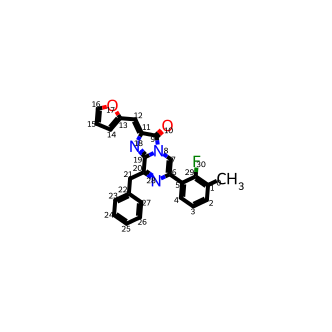 Cc1cccc(C2=CN3C(=O)/C(=C/c4ccco4)N=C3C(Cc3ccccc3)=N2)c1F